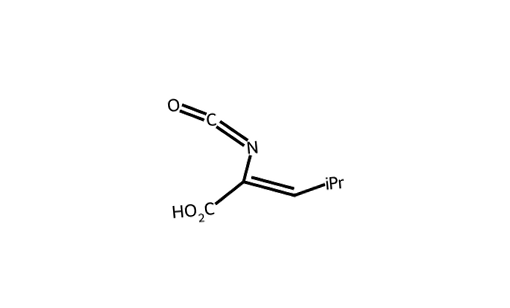 CC(C)C=C(N=C=O)C(=O)O